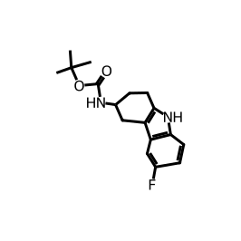 CC(C)(C)OC(=O)NC1CCc2[nH]c3ccc(F)cc3c2C1